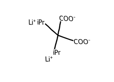 CC(C)C(C(=O)[O-])(C(=O)[O-])C(C)C.[Li+].[Li+]